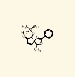 C[C@@H]1OC(c2ccccc2)=N[C@]12C=CC(=O)C2O[Si](C)(C)C(C)(C)C